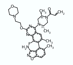 C=CC(=O)N1C[C@H](C)N(c2nc(OCCN3CCOCC3)nc3c(F)c(-c4c(C)ccc5onc(N)c45)c(C)cc23)C[C@H]1C